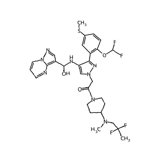 CSc1ccc(OC(F)F)c(-c2nn(CC(=O)N3CCC(N(C)CC(C)(F)F)CC3)cc2NC(O)c2cnn3cccnc23)c1